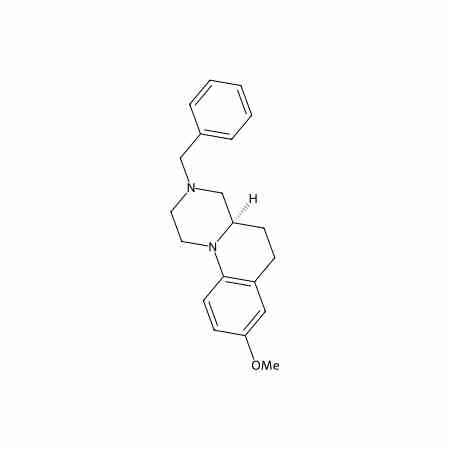 COc1ccc2c(c1)CC[C@@H]1CN(Cc3ccccc3)CCN21